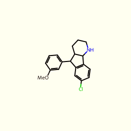 COc1cccc(C2c3cc(Cl)ccc3C3NCCCC32)c1